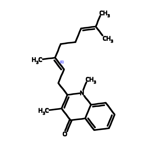 CC(C)=CCC/C(C)=C/Cc1c(C)c(=O)c2ccccc2n1C